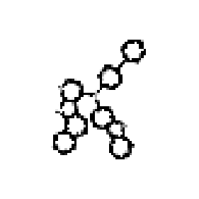 c1ccc(-c2ccc(N(c3ccc4c(c3)sc3ccccc34)c3ccnc4oc5c6ccccc6ccc5c34)cc2)cc1